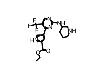 CCOC(=O)c1cc(-c2nc(NC3CCCNC3)ncc2C(F)(F)F)c[nH]1